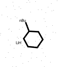 CCCCC1CC[CH]CC1.[LiH]